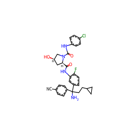 N#Cc1ccc(C(N)(CCC2CC2)c2ccc(F)c(NC(=O)[C@H]3C[C@@H](O)CN3C(=O)Nc3ccc(Cl)cc3)c2)cc1